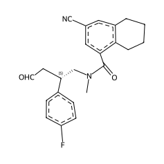 CN(C[C@@H](CC=O)c1ccc(F)cc1)C(=O)c1cc(C#N)cc2c1CCCC2